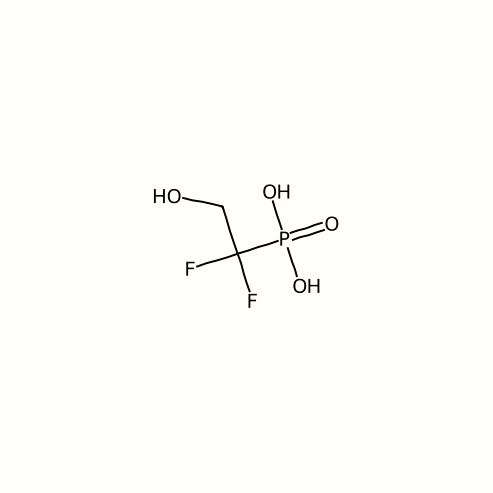 O=P(O)(O)C(F)(F)CO